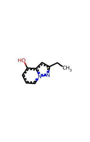 CCc1cc2c(O)cccn2n1